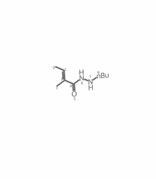 CC=C(C)C(=O)NNCCCC